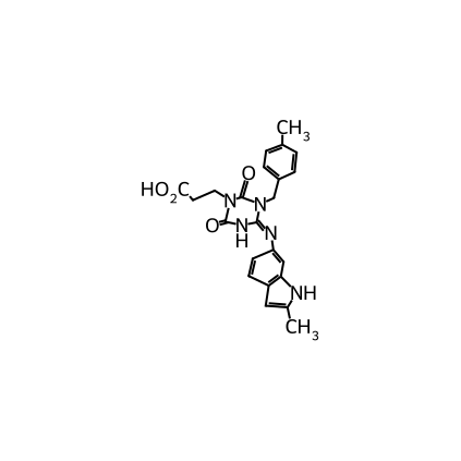 Cc1ccc(Cn2c(=O)n(CCC(=O)O)c(=O)[nH]/c2=N\c2ccc3cc(C)[nH]c3c2)cc1